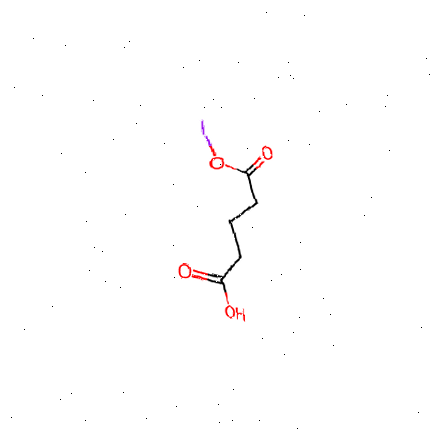 O=C(O)CCCC(=O)OI